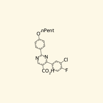 CCCCCOc1ccc(-c2ncc(C(=O)O)c(-c3ccc(F)c(Cl)c3)n2)cc1